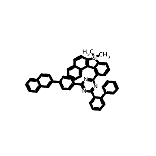 C[Si]1(C)c2cccc(-c3nc(-c4ccc(-c5ccc6ccccc6c5)cc4)nc(-c4ccccc4-c4ccccc4)n3)c2-c2c1ccc1ccccc21